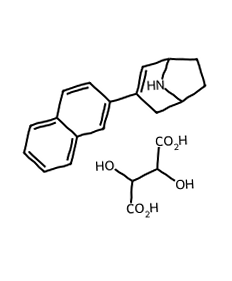 C1=C(c2ccc3ccccc3c2)CC2CCC1N2.O=C(O)C(O)C(O)C(=O)O